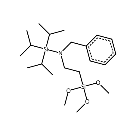 CO[Si](CCN(Cc1ccccc1)[Si](C(C)C)(C(C)C)C(C)C)(OC)OC